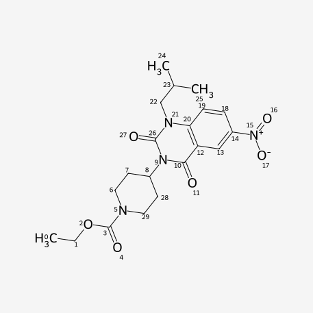 CCOC(=O)N1CCC(n2c(=O)c3cc([N+](=O)[O-])ccc3n(CC(C)C)c2=O)CC1